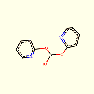 OB(Oc1ccccn1)Oc1ccccn1